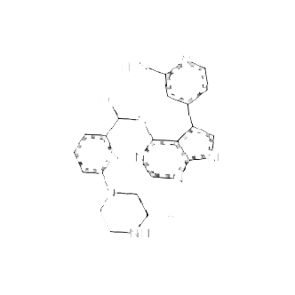 CCC(Nc1ncnc2[nH]cc(-c3ccnc(N)c3)c12)c1cccc(N2C[C@@H](C)N[C@@H](C)C2)n1